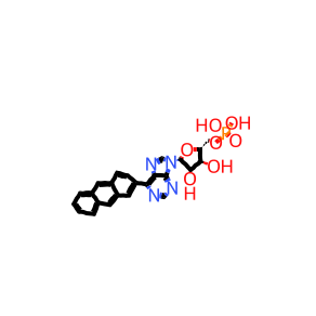 O=P(O)(O)OC[C@H]1O[C@@H](n2cnc3c(-c4ccc5cc6ccccc6cc5c4)ncnc32)[C@H](O)[C@@H]1O